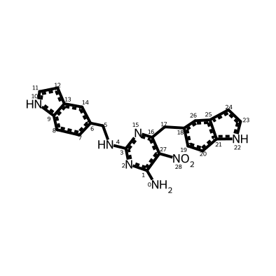 Nc1nc(NCc2ccc3[nH]ccc3c2)nc(Cc2ccc3[nH]ccc3c2)c1[N+](=O)[O-]